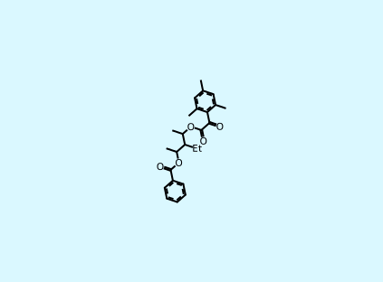 CCC(C(C)OC(=O)C(=O)c1c(C)cc(C)cc1C)C(C)OC(=O)c1ccccc1